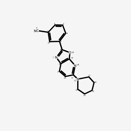 N#Cc1cccc(-c2nc3ccc(N4CCCCC4)nc3o2)c1